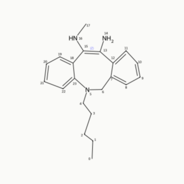 CCCCCN1Cc2ccccc2/C(N)=C(/NC)c2ccccc21